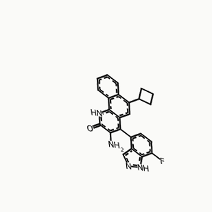 Nc1c(-c2ccc(F)c3[nH]ncc23)c2cc(C3CCC3)c3ccccc3c2[nH]c1=O